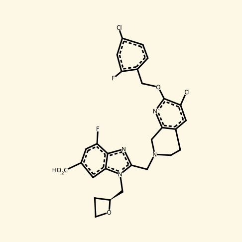 O=C(O)c1cc(F)c2nc(CN3CCc4cc(Cl)c(OCc5ccc(Cl)cc5F)nc4C3)n(C[C@@H]3CCO3)c2c1